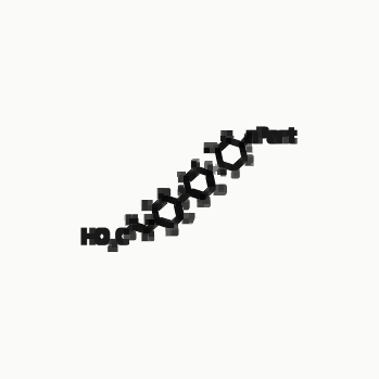 CCCCC[C@H]1CC[C@H](c2ccc(-c3ccc(/C=C/C(=O)O)cc3)cc2)CC1